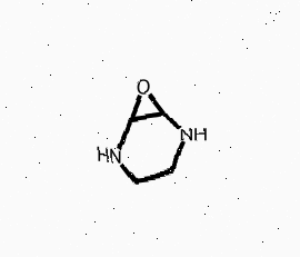 C1CNC2OC2N1